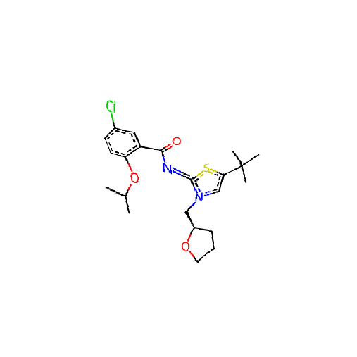 CC(C)Oc1ccc(Cl)cc1C(=O)N=c1sc(C(C)(C)C)cn1C[C@H]1CCCO1